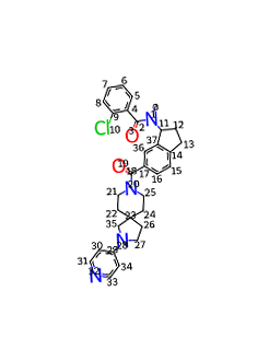 CN(C(=O)c1ccccc1Cl)C1CCc2ccc(C(=O)N3CCC4(CC3)CCN(c3ccncc3)C4)cc21